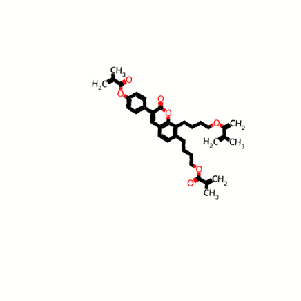 C=C(C)C(=C)OCCCCc1c(CCCCOC(=O)C(=C)C)ccc2cc(-c3ccc(OC(=O)C(=C)C)cc3)c(=O)oc12